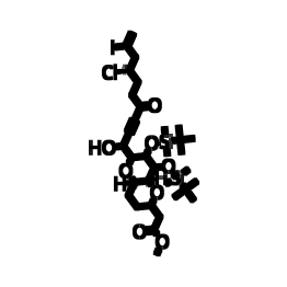 C=C(I)C[C@H](Cl)CCC(=O)C#CC(O)C1O[C@H]2CCC(CC(=O)OC)O[C@@H]2C(O[Si](C)(C)C(C)(C)C)C1O[Si](C)(C)C(C)(C)C